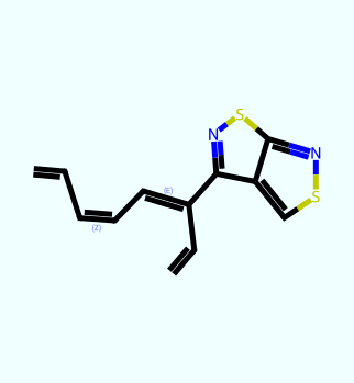 C=C/C=C\C=C(/C=C)c1nsc2nscc12